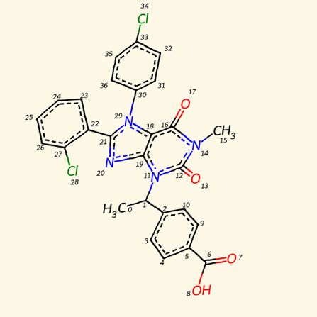 CC(c1ccc(C(=O)O)cc1)n1c(=O)n(C)c(=O)c2c1nc(-c1ccccc1Cl)n2-c1ccc(Cl)cc1